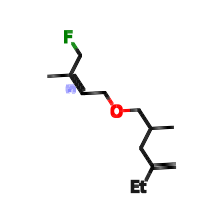 C=C(CC)CC(C)COC/C=C(/C)CF